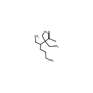 CCCCC(CC)C(CC)(CC)C([O])=O